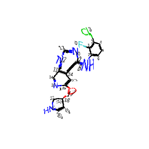 Fc1c(Cl)cccc1Nc1ncnc2cnc(O[C@H]3CCNC3)cc12